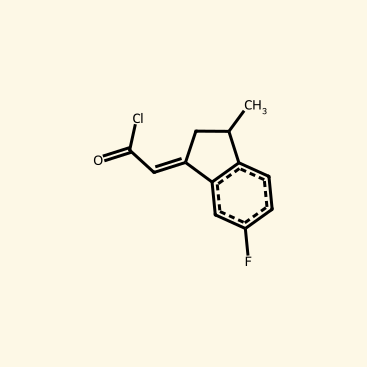 CC1CC(=CC(=O)Cl)c2cc(F)ccc21